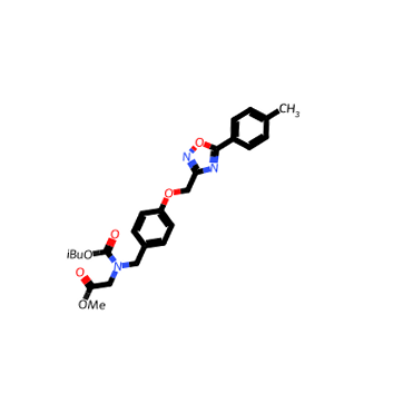 COC(=O)CN(Cc1ccc(OCc2noc(-c3ccc(C)cc3)n2)cc1)C(=O)OCC(C)C